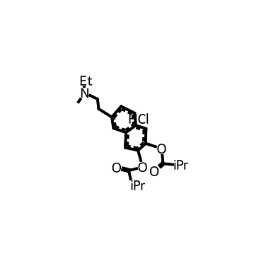 CCN(C)CCc1ccc2cc(OC(=O)C(C)C)c(OC(=O)C(C)C)cc2c1.Cl